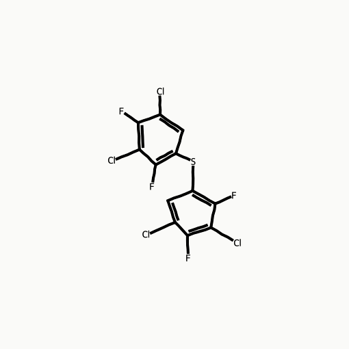 Fc1c(Cl)cc(Sc2cc(Cl)c(F)c(Cl)c2F)c(F)c1Cl